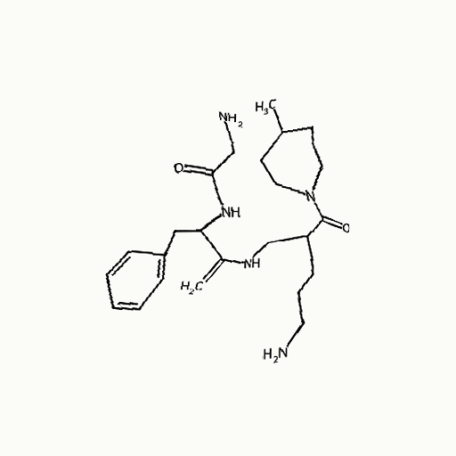 C=C(NCC(CCCN)C(=O)N1CCC(C)CC1)C(Cc1ccccc1)NC(=O)CN